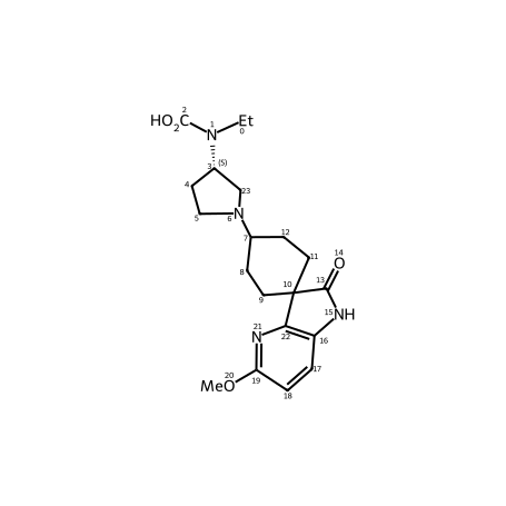 CCN(C(=O)O)[C@H]1CCN(C2CCC3(CC2)C(=O)Nc2ccc(OC)nc23)C1